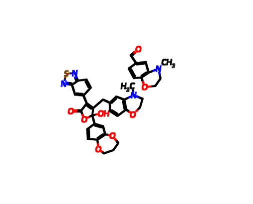 CN1CCOc2ccc(C=O)cc21.CN1CCOc2ccc(CC3=C(c4ccc5nsnc5c4)C(=O)OC3(O)c3ccc4c(c3)OCCCO4)cc21